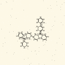 C1=CC2C3C=CC(C4C=CC5c6ccccc6N(C6C=CCCC6)C5C4)CC3N(C3=CC=C(c4ccccc4)CC3)C2C=C1